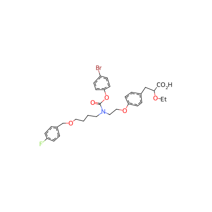 CCOC(Cc1ccc(OCCN(CCCCOCc2ccc(F)cc2)C(=O)Oc2ccc(Br)cc2)cc1)C(=O)O